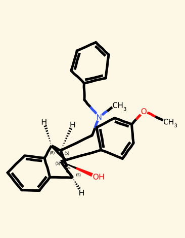 COc1ccc([C@]2(O)C[C@H]3c4ccccc4[C@@H]2C[C@@H]3CN(C)Cc2ccccc2)cc1